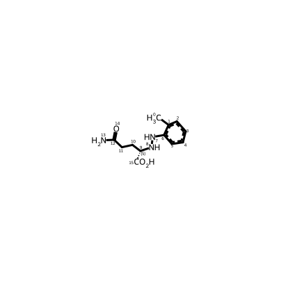 Cc1ccccc1NN[C@@H](CCC(N)=O)C(=O)O